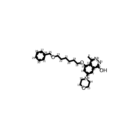 Cc1nnc(O)c2cc(N3CCOCC3)cc(OCCCCCCOCc3ccccc3)c12